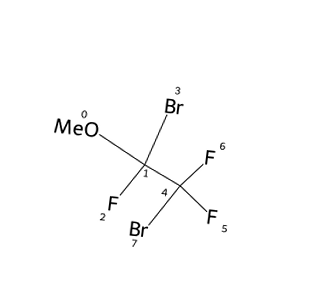 COC(F)(Br)C(F)(F)Br